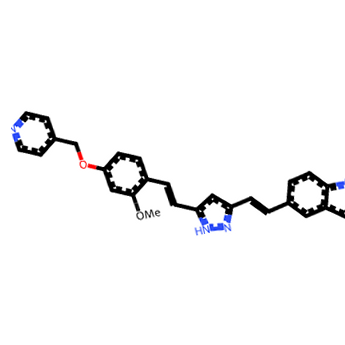 COc1cc(OCc2ccncc2)ccc1C=Cc1cc(C=Cc2ccc3[nH]ccc3c2)n[nH]1